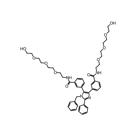 O=C(NCCOCCOCCOCCO)c1cccc(-c2nc(-c3ccccc3)n(Cc3ccccc3)c2-c2cccc(C(=O)NCCOCCOCCOCCO)c2)c1